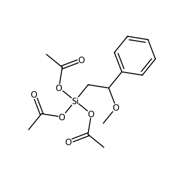 COC(C[Si](OC(C)=O)(OC(C)=O)OC(C)=O)c1ccccc1